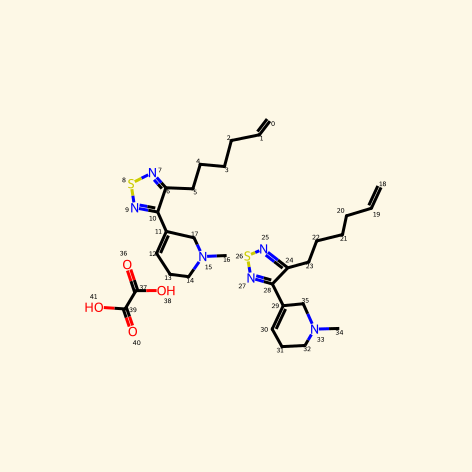 C=CCCCCc1nsnc1C1=CCCN(C)C1.C=CCCCCc1nsnc1C1=CCCN(C)C1.O=C(O)C(=O)O